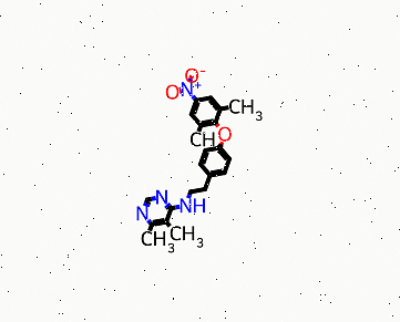 Cc1cc([N+](=O)[O-])cc(C)c1Oc1ccc(CCNc2ncnc(C)c2C)cc1